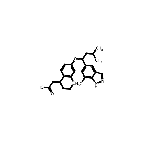 Cc1cc(C(CC(C)C)Oc2ccc3c(c2)OCCC3CC(=O)O)cc2cn[nH]c12